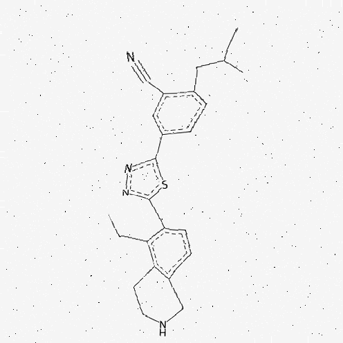 CCc1c(-c2nnc(-c3ccc(CC(C)C)c(C#N)c3)s2)ccc2c1CCNC2